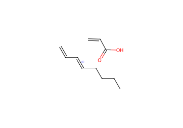 C=C/C=C/CCCC.C=CC(=O)O